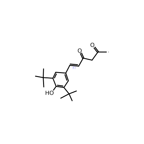 [CH2]C(=O)CC(=O)/C=C/c1cc(C(C)(C)C)c(O)c(C(C)(C)C)c1